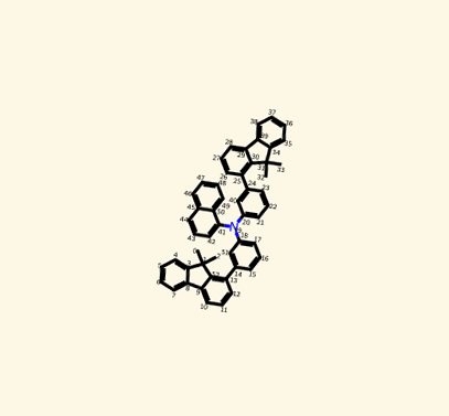 CC1(C)c2ccccc2-c2cccc(-c3cccc(N(c4cccc(-c5cccc6c5C(C)(C)c5ccccc5-6)c4)c4cccc5ccccc45)c3)c21